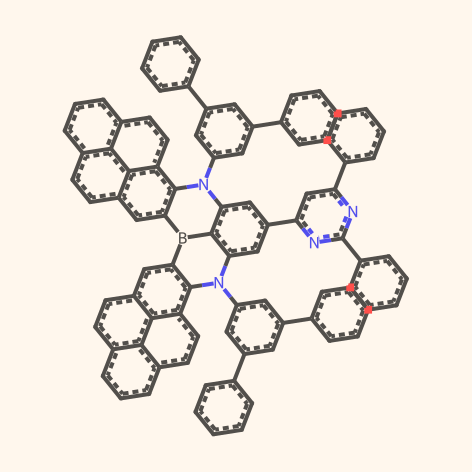 c1ccc(-c2cc(-c3ccccc3)cc(N3c4cc(-c5cc(-c6ccccc6)nc(-c6ccccc6)n5)cc5c4B(c4cc6ccc7cccc8ccc(c43)c6c78)c3cc4ccc6cccc7ccc(c3N5c3cc(-c5ccccc5)cc(-c5ccccc5)c3)c4c67)c2)cc1